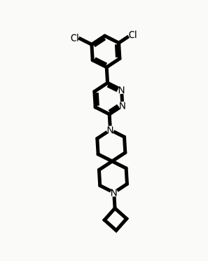 Clc1cc(Cl)cc(-c2ccc(N3CCC4(CC3)CCN(C3CCC3)CC4)nn2)c1